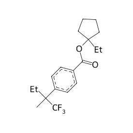 CCC1(OC(=O)c2ccc(C(C)(CC)C(F)(F)F)cc2)CCCC1